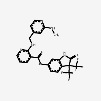 CNc1cc(CNc2ncccc2C(=O)Nc2ccc3c(c2)NC(=O)C3(C(F)(F)F)C(F)(F)F)ccn1